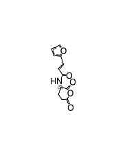 O=C(C=Cc1ccco1)N[C@H]1CCC(=O)OC1=O